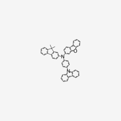 CC1(C)c2ccccc2-c2ccc(N(c3ccc(-n4c5ccccc5c5ccccc54)cc3)c3ccc4c(c3)oc3ccccc34)cc21